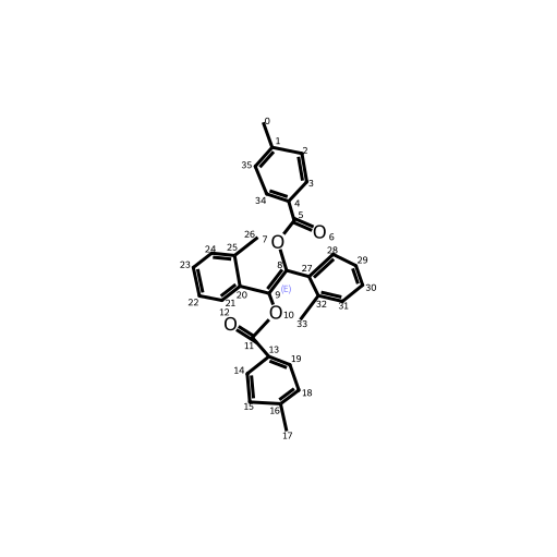 Cc1ccc(C(=O)O/C(=C(/OC(=O)c2ccc(C)cc2)c2ccccc2C)c2ccccc2C)cc1